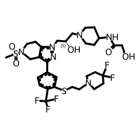 CS(=O)(=O)N1CCc2c(c(-c3ccc(C(F)(F)F)c(SCCN4CCC(F)(F)CC4)c3)nn2C[C@@H](O)CN2CCC(NC(=O)CO)CC2)C1